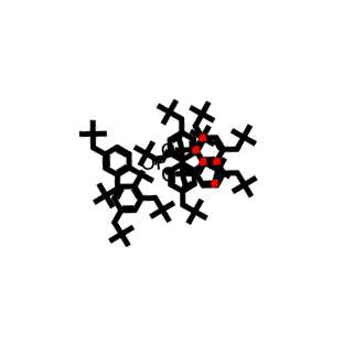 CC(C)(C)Cc1ccc(C(C)(OP(OC(C)(c2ccc(CC(C)(C)C)cc2CC(C)(C)C)c2ccc(CC(C)(C)C)cc2CC(C)(C)C)OC(C)(c2ccc(CC(C)(C)C)cc2CC(C)(C)C)c2ccc(CC(C)(C)C)cc2CC(C)(C)C)c2ccc(CC(C)(C)C)cc2CC(C)(C)C)c(CC(C)(C)C)c1